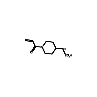 C=CC(=O)N1CCC(NC(=O)O)CC1